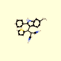 Cc1ccc2c(C(c3cccs3)C(C#N)C#N)c(-c3ccccc3)[nH]c2c1